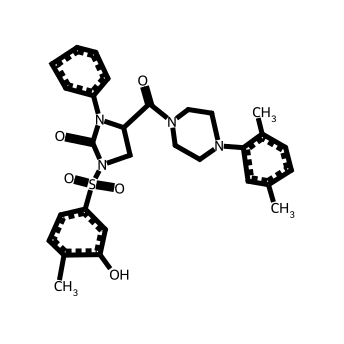 Cc1ccc(C)c(N2CCN(C(=O)C3CN(S(=O)(=O)c4ccc(C)c(O)c4)C(=O)N3c3ccccc3)CC2)c1